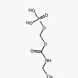 [CH2]CNC(=O)OCOP(=O)(O)O